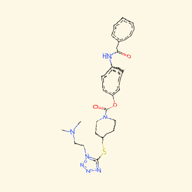 CN(C)CCn1nnnc1SC1CCN(C(=O)Oc2ccc(NC(=O)c3ccccc3)cc2)CC1